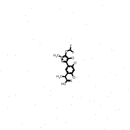 CC(C(O)=S)c1cc(-c2nn(C)c(OC(F)F)c2Cl)c(Cl)cc1Cl